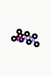 c1ccc(N2c3ccccc3B3c4cccc(-c5cc6[nH]c7ccccc7c6c6ccccc56)c4N(c4ccccc4)c4cccc2c43)cc1